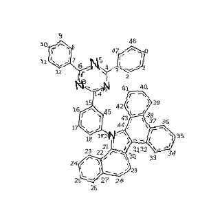 c1ccc(-c2nc(-c3ccccc3)nc(-c3cccc(-n4c5c6ccccc6ccc5c5c6ccccc6c6ccccc6c54)c3)n2)cc1